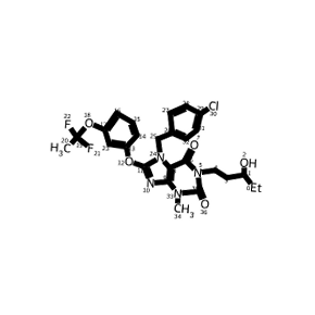 CCC(O)CCn1c(=O)c2c(nc(Oc3cccc(OC(C)(F)F)c3)n2Cc2ccc(Cl)cc2)n(C)c1=O